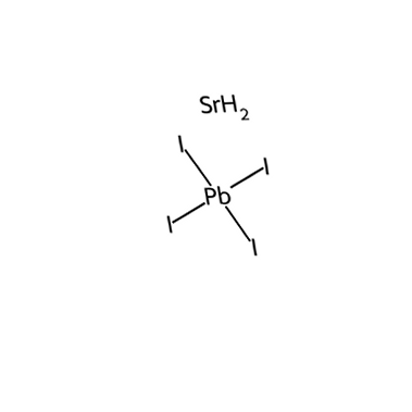 [I][Pb]([I])([I])[I].[SrH2]